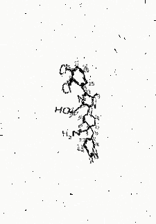 Cc1nc(N2CCC(CN)(Cc3cccnc3)CC2)c(CO)nc1-c1cccc(Cl)c1Cl